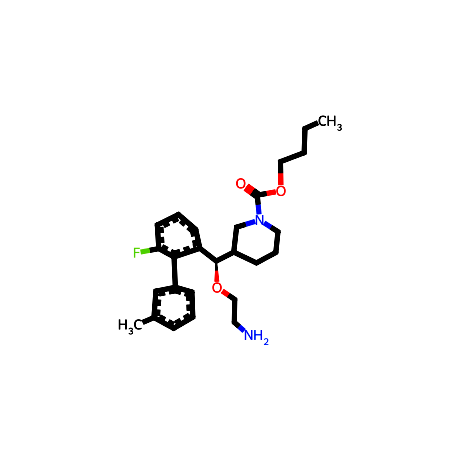 CCCCOC(=O)N1CCCC([C@@H](OCCN)c2cccc(F)c2-c2cccc(C)c2)C1